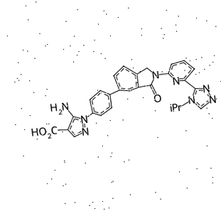 CC(C)n1cnnc1-c1cccc(N2Cc3ccc(-c4ccc(-n5ncc(C(=O)O)c5N)cc4)cc3C2=O)n1